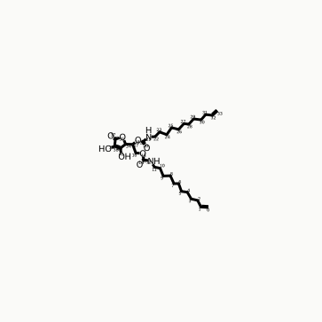 C=CCCCCCCCCCCNC(=O)OCC(OC(=O)NCCCCCCCCCCC=C)C1OC(=O)C(O)=C1O